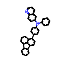 c1ccc(N(c2ccc(-c3ccc4c5c(cccc35)-c3ccccc3-4)cc2)c2ccc3ncccc3c2)cc1